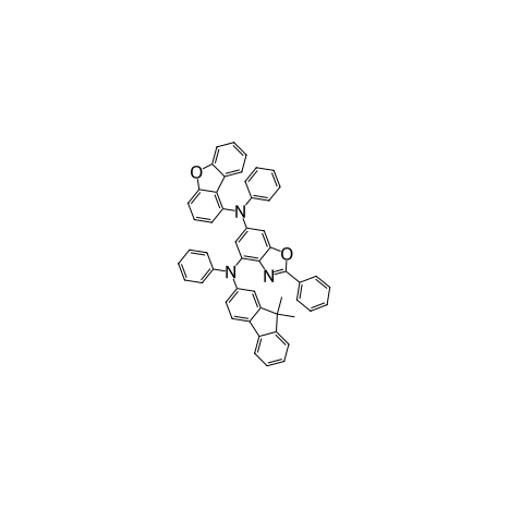 CC1(C)c2ccccc2-c2ccc(N(c3ccccc3)c3cc(N(c4ccccc4)c4cccc5oc6ccccc6c45)cc4oc(-c5ccccc5)nc34)cc21